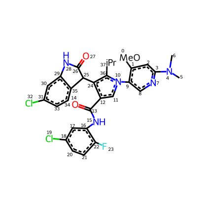 COc1cc(N(C)C)ncc1-n1cc(C(=O)Nc2cc(Cl)ccc2F)c(C2C(=O)Nc3cc(Cl)ccc32)c1C(C)C